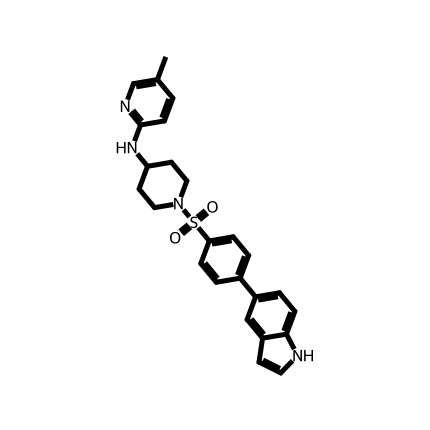 Cc1ccc(NC2CCN(S(=O)(=O)c3ccc(-c4ccc5[nH]ccc5c4)cc3)CC2)nc1